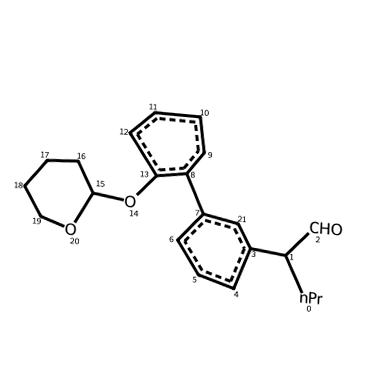 CCCC(C=O)c1cccc(-c2ccccc2OC2CCCCO2)c1